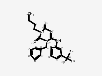 CCCCn1c(=O)nc(Nc2cccc(C(F)(F)F)c2)n(Cc2ccccc2)c1=O